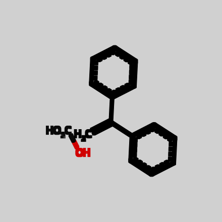 C=C(c1ccccc1)c1ccccc1.O=C(O)O